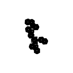 c1ccc2cc(-c3nc(-c4ccc5c(c4)oc4c(-n6c7ccccc7c7ccc8ccccc8c76)cccc45)nc(-c4cccc5c4oc4ccccc45)n3)ccc2c1